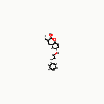 CCC(Cc1cccc(OCCCc2ccccc2)c1)C(=O)O